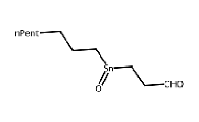 CCCCCCC[CH2][Sn](=[O])[CH2]CC=O